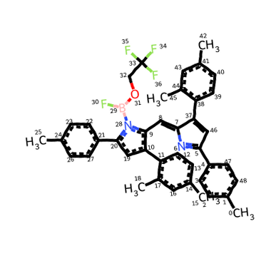 Cc1ccc(C2=N/C(=C\c3c(-c4ccc(C)cc4C)cc(-c4ccc(C)cc4)n3B(F)OCC(F)(F)F)C(c3ccc(C)cc3C)=C2)cc1